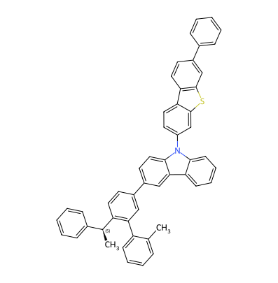 Cc1ccccc1-c1cc(-c2ccc3c(c2)c2ccccc2n3-c2ccc3c(c2)sc2cc(-c4ccccc4)ccc23)ccc1[C@@H](C)c1ccccc1